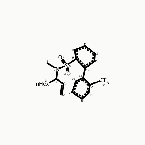 C=CC(CCCCCC)N(C)S(=O)(=O)c1ccccc1-c1ccccc1C(F)(F)F